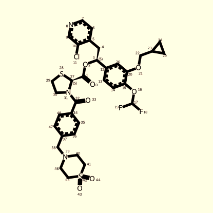 O=C(O[C@@H](Cc1ccncc1Cl)c1ccc(OC(F)F)c(OCC2CC2)c1)[C@@H]1SCCN1C(=O)c1ccc(CN2CCS(=O)(=O)CC2)cc1